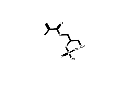 C=C(C)C(=O)OCC(CO)OP(=O)(O)O